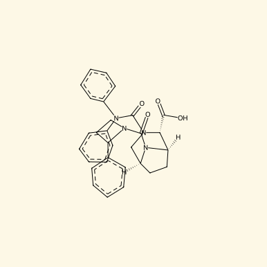 O=C(O)[C@@H]1[C@H]2CC[C@@H](CN1C(=O)N(c1ccccc1)c1ccccc1)N2C(=O)N1CCC1c1ccccc1